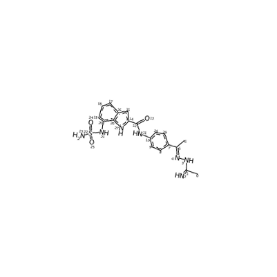 CC(=N)N/N=C(\C)c1ccc(NC(=O)c2cc3cccc(NS(N)(=O)=O)c3[nH]2)cc1